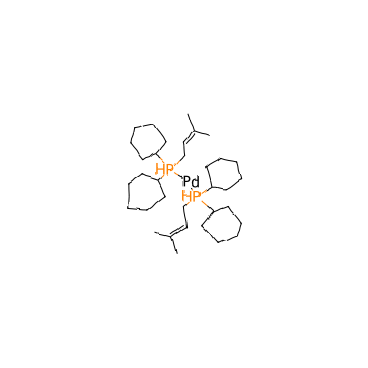 CC(C)=CC[PH]([Pd][PH](CC=C(C)C)(C1CCCCC1)C1CCCCC1)(C1CCCCC1)C1CCCCC1